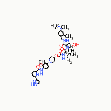 COc1cc(N2CCC(OCC(=O)N[C@H](C(=O)N3C[C@H](O)C[C@H]3C(=O)NCc3ccc(N(C)C)cc3C)C(C)(C)C)CC2)ccc1NC(=O)c1cccc(-c2cc[nH]n2)n1